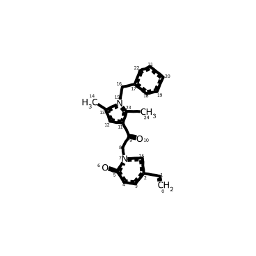 C=Cc1ccc(=O)n(CC(=O)c2cc(C)n(Cc3ccccc3)c2C)c1